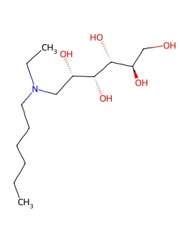 CCCCCCN(CC)C[C@H](O)[C@@H](O)[C@H](O)[C@H](O)CO